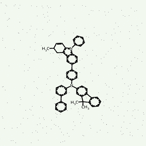 CC1C=Cc2c(c3cc(-c4ccc(N(c5cccc(-c6ccccc6)c5)c5ccc6c(c5)C(C)(C)c5ccccc5-6)cc4)ccc3n2-c2ccccc2)C1